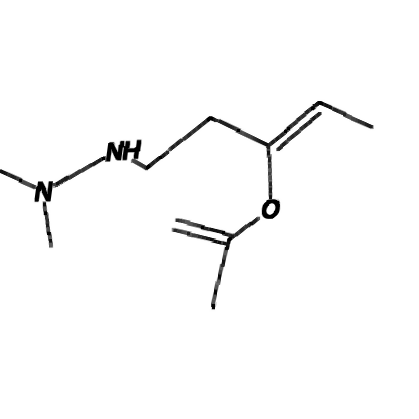 C=C(C)O/C(=C\C)CCNN(C)C